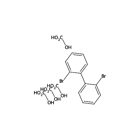 Brc1ccccc1-c1ccccc1Br.O=C(O)O.O=C(O)O.O=C(O)O.O=C(O)O